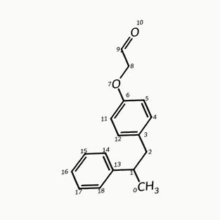 CC(Cc1ccc(OC[C]=O)cc1)c1ccccc1